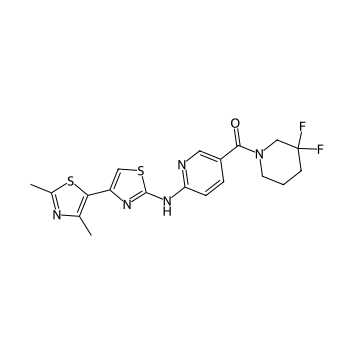 Cc1nc(C)c(-c2csc(Nc3ccc(C(=O)N4CCCC(F)(F)C4)cn3)n2)s1